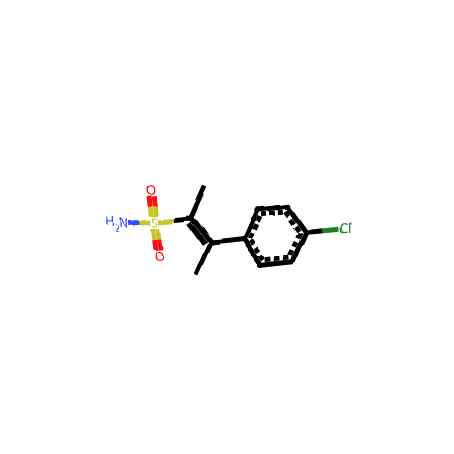 C/C(=C(/C)S(N)(=O)=O)c1ccc(Cl)cc1